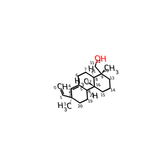 C=C[C@@]1(C)C=C2CC[C@H]3[C@](C)(CO)CCC[C@]3(C)[C@H]2CC1